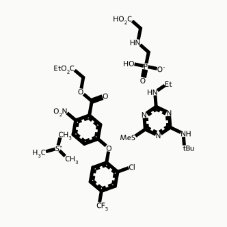 CCNc1nc(NC(C)(C)C)nc(SC)n1.CCOC(=O)COC(=O)c1cc(Oc2ccc(C(F)(F)F)cc2Cl)ccc1[N+](=O)[O-].C[S+](C)C.O=C(O)CNCP(=O)([O-])O